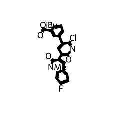 CNC(=O)c1c(-c2ccc(F)cc2)oc2nc(Cl)c(-c3cccc(C(=O)OCC(C)C)c3)cc12